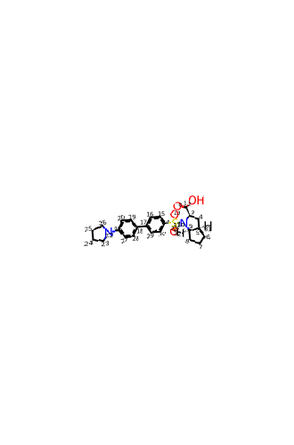 O=C(O)[C@H]1C[C@H]2CCC[C@H]2N1S(=O)(=O)c1ccc(-c2ccc(N3CCCC3)cc2)cc1